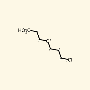 O=C(O)CCOCCCCl